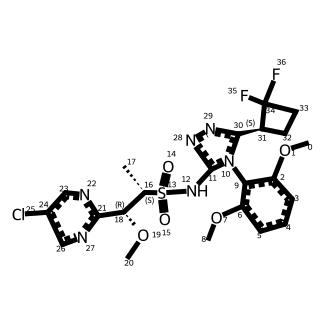 COc1cccc(OC)c1-n1c(NS(=O)(=O)[C@@H](C)[C@H](OC)c2ncc(Cl)cn2)nnc1[C@@H]1CCC1(F)F